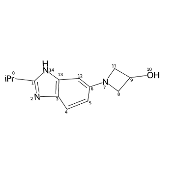 CC(C)c1nc2ccc(N3CC(O)C3)cc2[nH]1